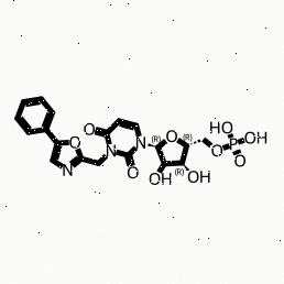 O=c1ccn([C@@H]2O[C@H](COP(=O)(O)O)[C@H](O)C2O)c(=O)n1Cc1ncc(-c2ccccc2)o1